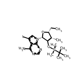 CC[C@H]1O[C@@H](n2cc(I)c3c(N)ncnc32)C(O[Si](C)(C)C(C)(C)C)[C@H]1C